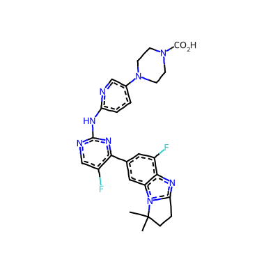 CC1(C)CCc2nc3c(F)cc(-c4nc(Nc5ccc(N6CCN(C(=O)O)CC6)cn5)ncc4F)cc3n21